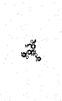 C=CC(=O)N1CCN(c2nc(OCC3CCCN3C)nc3c2CCN(c2cnccc2OC)C3)CC1CC#N